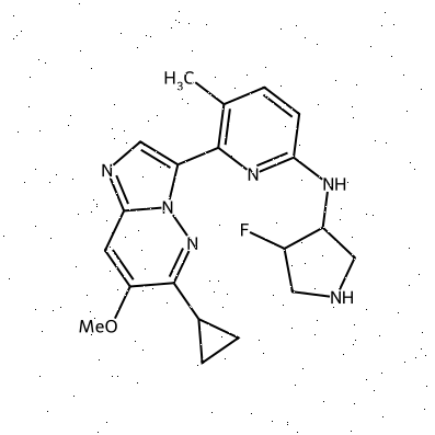 COc1cc2ncc(-c3nc(NC4CNCC4F)ccc3C)n2nc1C1CC1